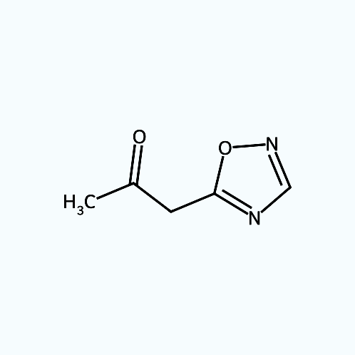 CC(=O)Cc1ncno1